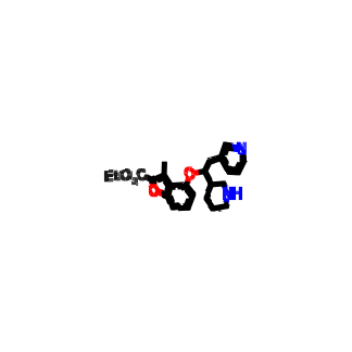 CCOC(=O)c1oc2cccc(OC(Cc3cccnc3)C3CCCNC3)c2c1C